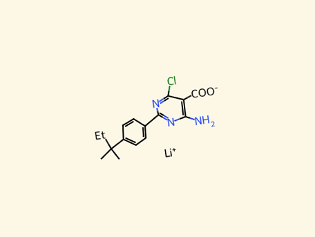 CCC(C)(C)c1ccc(-c2nc(N)c(C(=O)[O-])c(Cl)n2)cc1.[Li+]